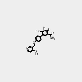 CCOc1ccncc1COc1ccc(-c2cc(C(N)=O)c(=O)[nH]c2C(F)(F)F)cc1